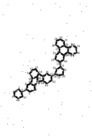 c1ccc(-c2ccc3c(c2)c2cccc4c5cc(-c6cccc(-c7ccc8c9ccccc9c9nccnc9c8c7)c6)ccc5n3c24)cc1